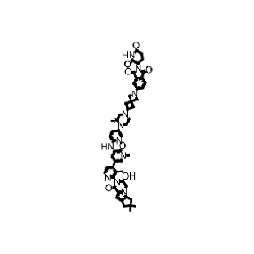 C[C@H]1CN(C2CC3(C2)CN(c2ccc4c(c2)C(=O)N(C2CCC(=O)NC2=O)C4=O)C3)CCN1c1ccc(Nc2cc(-c3ccnc(N4CCn5c(cc6c5CC(C)(C)C6)C4=O)c3CO)cn(C)c2=O)nc1